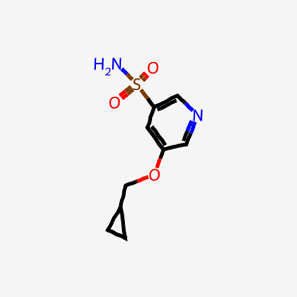 NS(=O)(=O)c1cncc(OCC2CC2)c1